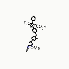 C=C(/C=C(\C=C/CF)OC)c1ccc(Cc2ccc(N3N=C(C(F)(F)F)C(c4ccccc4)C3CC(=O)O)cc2)c(C)c1